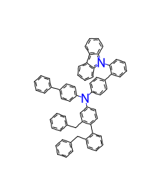 c1ccc(Cc2ccccc2-c2ccc(N(c3ccc(-c4ccccc4)cc3)c3ccc(-c4ccccc4-n4c5ccccc5c5ccccc54)cc3)cc2Cc2ccccc2)cc1